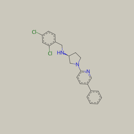 Clc1ccc(CN[C@H]2CCN(c3ccc(-c4ccccc4)cn3)C2)c(Cl)c1